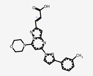 Cc1cccc(-c2ccn(-c3cc(N4CCOCC4)n4nc(/C=C/C(=O)O)cc4n3)n2)c1